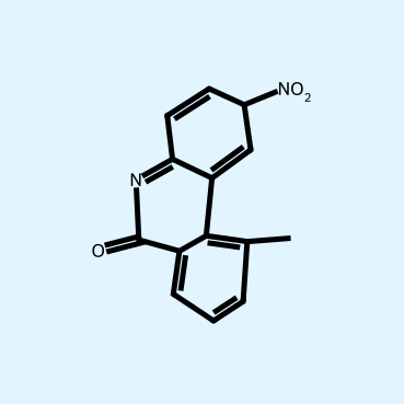 Cc1cccc2c1C1=CC([N+](=O)[O-])C=CC1=NC2=O